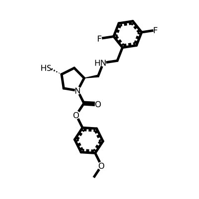 COc1ccc(OC(=O)N2C[C@H](S)C[C@H]2CNCc2cc(F)ccc2F)cc1